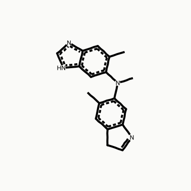 Cc1cc2c(cc1N(C)c1cc3[nH]cnc3cc1C)N=CC2